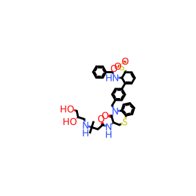 CC(C)(CC(=O)N[C@@H]1CSc2ccccc2N(Cc2ccc(C3=CC=CC(=S(=O)=O)C3NC(=O)c3ccccc3)cc2)C1=O)NC[C@H](O)CO